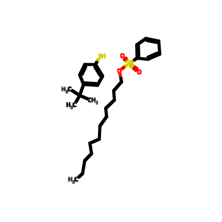 CC(C)(C)c1ccc(S)cc1.CCCCCCCCCCCCOS(=O)(=O)c1ccccc1